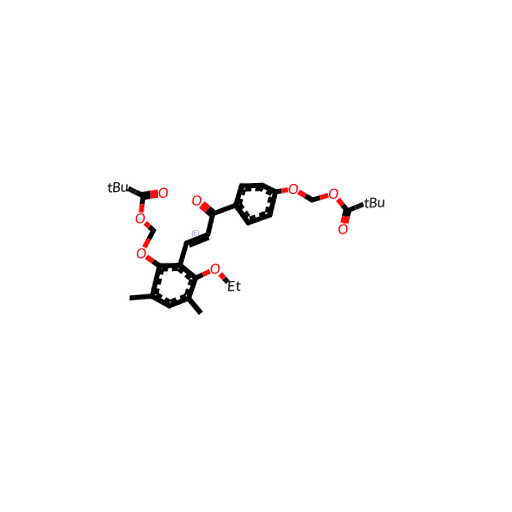 CCOc1c(C)cc(C)c(OCOC(=O)C(C)(C)C)c1/C=C/C(=O)c1ccc(OCOC(=O)C(C)(C)C)cc1